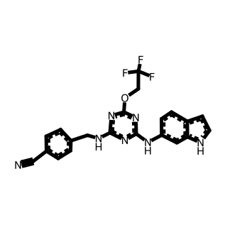 N#Cc1ccc(CNc2nc(Nc3ccc4cc[nH]c4c3)nc(OCC(F)(F)F)n2)cc1